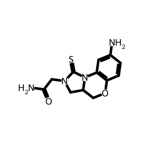 NC(=O)CN1CC2COc3ccc(N)cc3N2C1=S